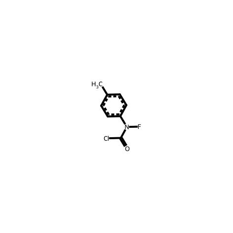 Cc1ccc(N(F)C(=O)Cl)cc1